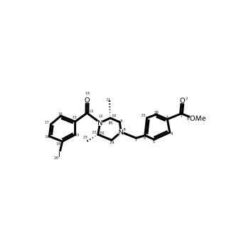 COC(=O)c1ccc(CN2C[C@@H](C)N(C(=O)c3cccc(I)c3)[C@@H](C)C2)cc1